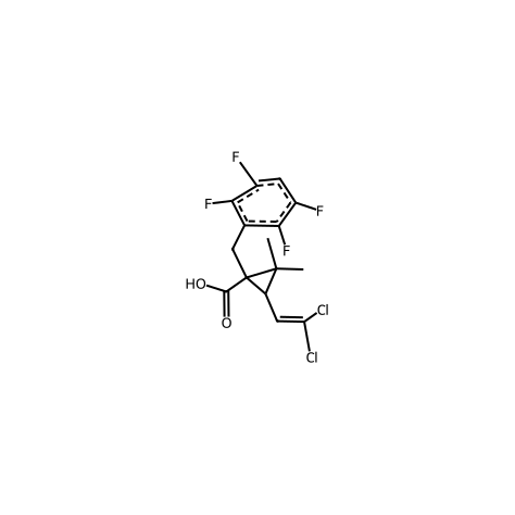 CC1(C)C(C=C(Cl)Cl)C1(Cc1c(F)c(F)cc(F)c1F)C(=O)O